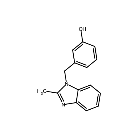 Cc1nc2ccccc2n1Cc1cccc(O)c1